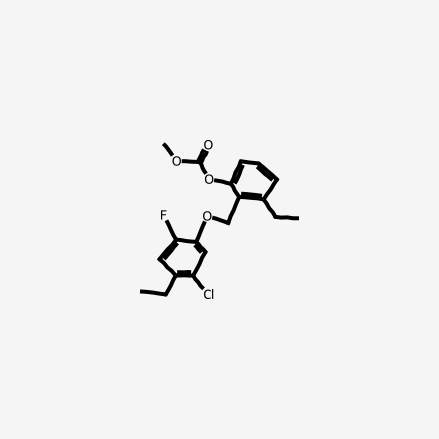 CCc1cc(F)c(OCc2c(CC)cccc2OC(=O)OC)cc1Cl